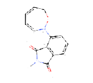 CN1C(=O)c2cccc(N3C=CC=CCO3)c2C1=O